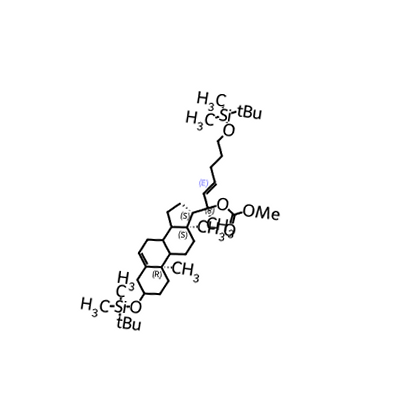 COC(=O)O[C@](C)(/C=C/CCCO[Si](C)(C)C(C)(C)C)[C@H]1CCC2C3CC=C4CC(O[Si](C)(C)C(C)(C)C)CC[C@]4(C)C3CC[C@@]21C